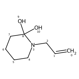 C=CCN1CCCCC1(O)O